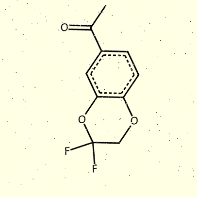 CC(=O)c1ccc2c(c1)OC(F)(F)CO2